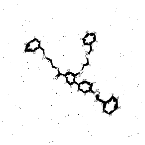 O=C(OCCOCc1ccccc1)c1ccc(-c2ccc(OCc3ccccc3)cc2)c(OCCOCc2ccccc2)c1